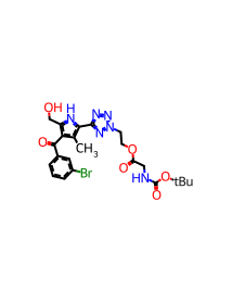 Cc1c(-c2nnn(CCOC(=O)CNC(=O)OC(C)(C)C)n2)[nH]c(CO)c1C(=O)c1cccc(Br)c1